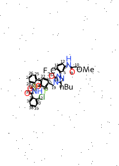 CCCCc1nn(-c2cc(NC(=O)COC)ccc2C(F)(F)F)c(=O)n1Cc1ccc(-c2ccccc2S(=O)(=O)NC(=O)c2ccccc2Cl)cc1F